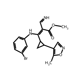 COC(=O)/C(C=N)=C(/Nc1cccc(Br)c1)C1CC1c1cnoc1C